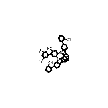 N#Cc1ccccc1-c1ccc2c3ccccc3n(-c3cc(C#N)c(-c4cc(C(F)(F)F)cc(C(F)(F)F)c4)cc3-n3c4ccccc4c4ccc(-c5ccccc5C#N)cc43)c2c1